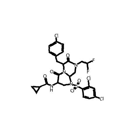 O=C(NC1CN(S(=O)(=O)c2ccc(Cl)cc2Cl)C2CN(CC(F)F)C(=O)C(Cc3ccc(Cl)cc3)N2C1=O)C1CC1